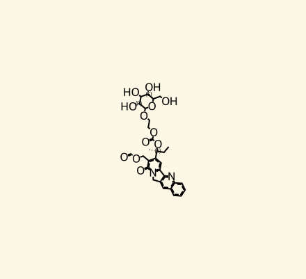 CC[C@](C)(OC(=O)OCCOC1OC(CO)[C@@H](O)C(O)[C@H]1O)c1cc2n(c(=O)c1COC=O)Cc1cc3ccccc3nc1-2